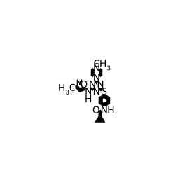 Cc1cc(Nc2nc(Sc3ccc(NC(=O)C4CC4)cc3)nc(N3CCN(C)CC3)n2)on1